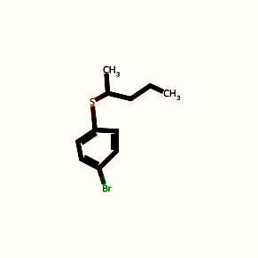 CCCC(C)Sc1ccc(Br)cc1